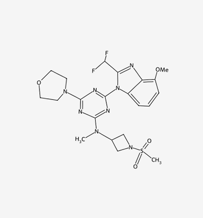 COc1cccc2c1nc(C(F)F)n2-c1nc(N2CCOCC2)nc(N(C)C2CN(S(C)(=O)=O)C2)n1